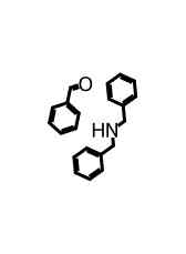 O=Cc1ccccc1.c1ccc(CNCc2ccccc2)cc1